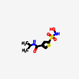 CC(C)NC(=O)c1csc(S(=O)(=O)NO)c1